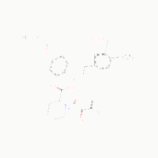 C=C(CC)C(=O)C(=O)N1CCCCC1C(=O)O[C@@H](CCc1ccc(OC)c(CO)c1)c1ccc(OCC(=O)O)cc1